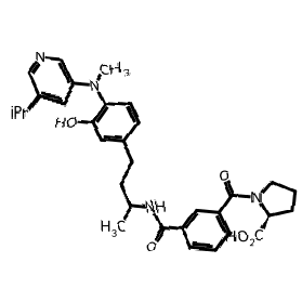 CC(CCc1ccc(N(C)c2cncc(C(C)C)c2)c(O)c1)NC(=O)c1cccc(C(=O)N2CCC[C@H]2C(=O)O)c1